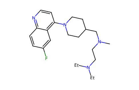 CCN(CC)CCN(C)CC1CCN(c2ccnc3ccc(F)cc23)CC1